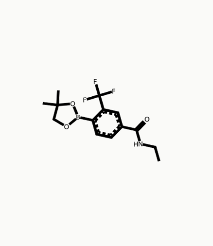 CCNC(=O)c1ccc(B2OCC(C)(C)O2)c(C(F)(F)F)c1